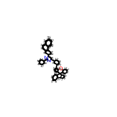 C1=CC2c3ccccc3C3(c4ccccc4Oc4c(-c5cccc(-c6cc(-c7ccc8c(ccc9ccccc98)c7)nc(-c7ccccc7)n6)c5)cccc43)C2C=C1